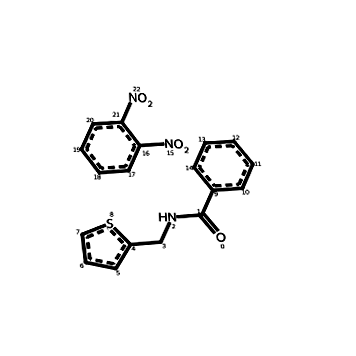 O=C(NCc1cccs1)c1ccccc1.O=[N+]([O-])c1ccccc1[N+](=O)[O-]